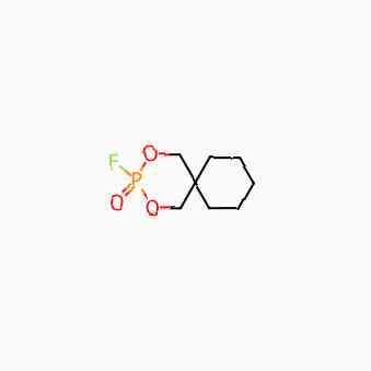 O=P1(F)OCC2(CCCCC2)CO1